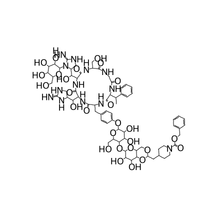 CC(c1ccccc1)C1NC(=O)CNC(=O)C(CO)NC(=O)C(C(O)C2CNC(=N)N2C2OC(CO)C(O)C(O)C2O)NC(=O)C(C(O)C2CNC(=N)N2)NC(=O)C(Cc2ccc(OC3OC(CO)C(OC4OC5COC(CC6CCN(C(=O)OCc7ccccc7)CC6)OC5C(O)C4O)C(O)C3O)cc2)NC1=O